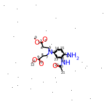 COC(=O)CCN(CCC(=O)OC)c1ccc(N)c(NC(C)=O)c1